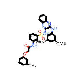 COc1cc(Nc2nc3ccccc3nc2NS(=O)(=O)c2cccc(NC(=O)COc3cccc(C)c3)c2)cc(OC)c1